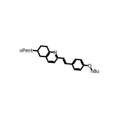 CCCCCC1CCc2nc(/C=C/c3ccc(OCCCC)cc3)ccc2C1